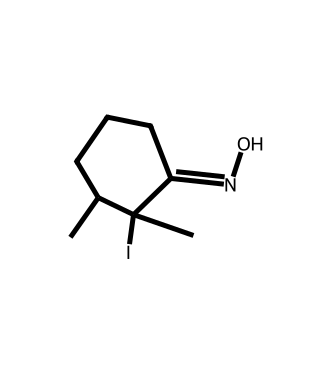 CC1CCC/C(=N\O)C1(C)I